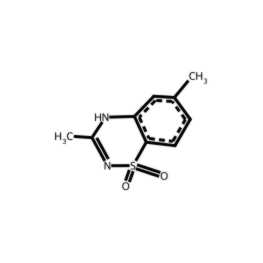 CC1=NS(=O)(=O)c2ccc(C)cc2N1